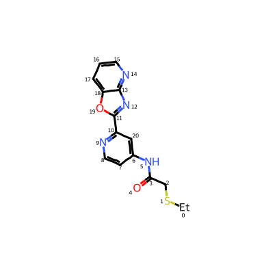 CCSCC(=O)Nc1ccnc(-c2nc3ncccc3o2)c1